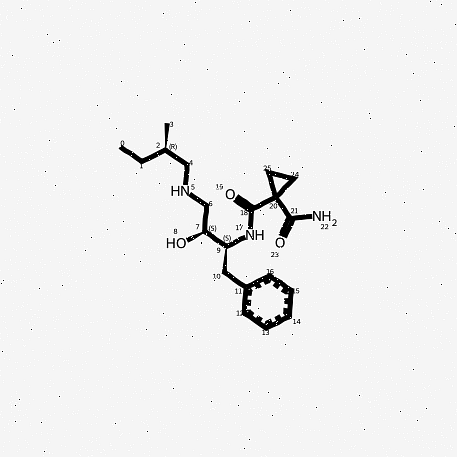 CC[C@@H](C)CNC[C@H](O)[C@H](Cc1ccccc1)NC(=O)C1(C(N)=O)CC1